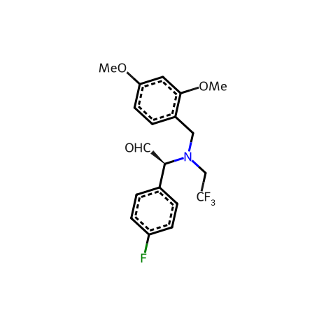 COc1ccc(CN(CC(F)(F)F)[C@H](C=O)c2ccc(F)cc2)c(OC)c1